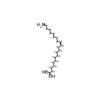 NCCCCCCCC/C=C\CCCCCCCCCCC(O)O